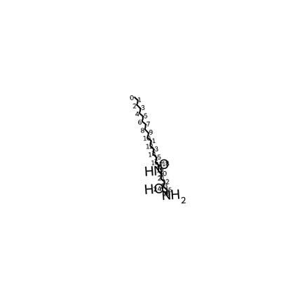 CCCCCCCCCCCCCCCCCC(=O)NCCCC(O)CN